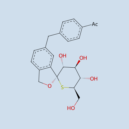 CC(=O)c1ccc(Cc2ccc3c(c2)[C@]2(OC3)S[C@H](CO)[C@@H](O)[C@H](O)[C@H]2O)cc1